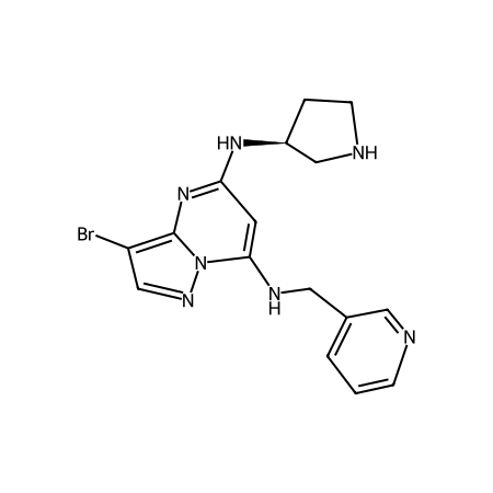 Brc1cnn2c(NCc3cccnc3)cc(N[C@H]3CCNC3)nc12